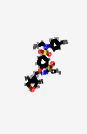 CCc1ccc(N(CC(C)C)S(=O)(=O)c2ccc(OC[C@@H]3[C@@H]4COC[C@@H]43)c(S(C)(=N)=O)c2)cc1